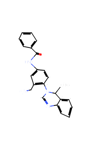 NCc1cc(NC(=O)c2ccccc2)ccc1N1C=Nc2ccccc2C1C=O